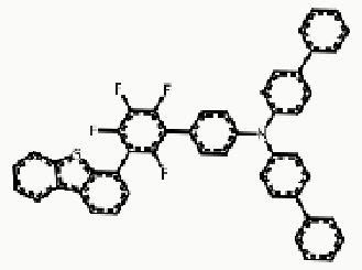 Fc1c(F)c(-c2ccc(N(c3ccc(-c4ccccc4)cc3)c3ccc(-c4ccccc4)cc3)cc2)c(F)c(-c2cccc3c2sc2ccccc23)c1F